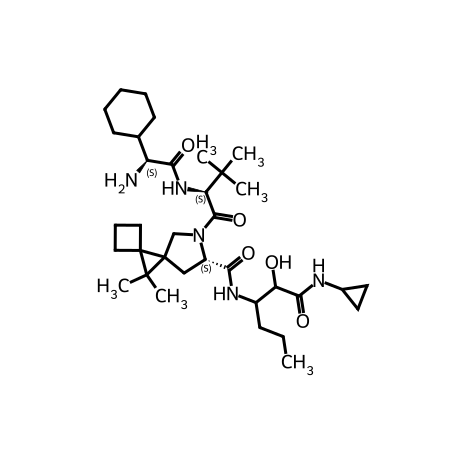 CCCC(NC(=O)[C@@H]1CC2(CN1C(=O)[C@@H](NC(=O)[C@@H](N)C1CCCCC1)C(C)(C)C)C(C)(C)C21CCC1)C(O)C(=O)NC1CC1